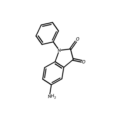 Nc1ccc2c(c1)C(=O)C(=O)N2c1ccccc1